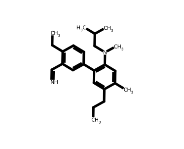 CCCc1cc(-c2ccc(CC)c(C=N)c2)c(N(C)CC(C)C)cc1C